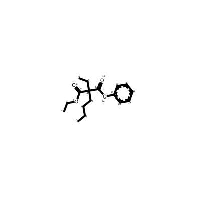 CCCCC(CC)(C(=O)OCC)C(=O)Oc1ccccc1